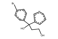 OCCC(O)(c1ccc(Br)cc1)c1cccnc1